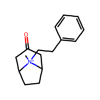 C[N+]1(CCc2ccccc2)C2CCC1CC(=O)C2